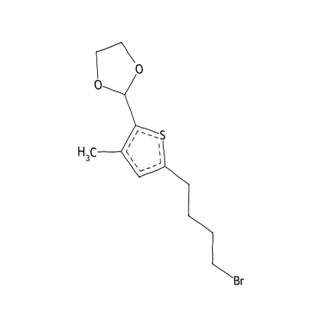 Cc1cc(CCCCBr)sc1C1OCCO1